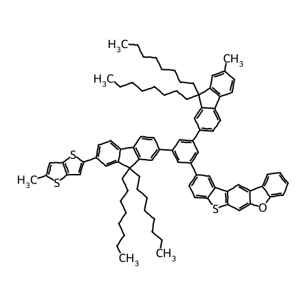 CCCCCCCCC1(CCCCCCCC)c2cc(C)ccc2-c2ccc(-c3cc(-c4ccc5c(c4)C(CCCCCCCC)(CCCCCCCC)c4cc(-c6cc7sc(C)cc7s6)ccc4-5)cc(-c4ccc5sc6cc7oc8ccccc8c7cc6c5c4)c3)cc21